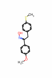 COc1ccc(C(Cc2ccc(SC)cc2)=NO)cc1